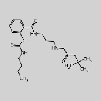 CCCCNC(=O)Sc1ccccc1C(=O)NCCCNCC(=O)CC(C)(C)C